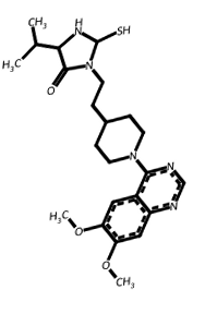 COc1cc2ncnc(N3CCC(CCN4C(=O)C(C(C)C)NC4S)CC3)c2cc1OC